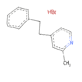 Br.Cc1cc(CCc2ccccc2)ccn1